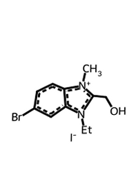 CCn1c(CO)[n+](C)c2ccc(Br)cc21.[I-]